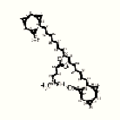 CCC1CC1CC1CC1CC1CC1CCCCCCCCC(CCCCCCCCC1CC1CC1C[C@H]1CC1CC1CC)OC(=O)CCCN(C)C